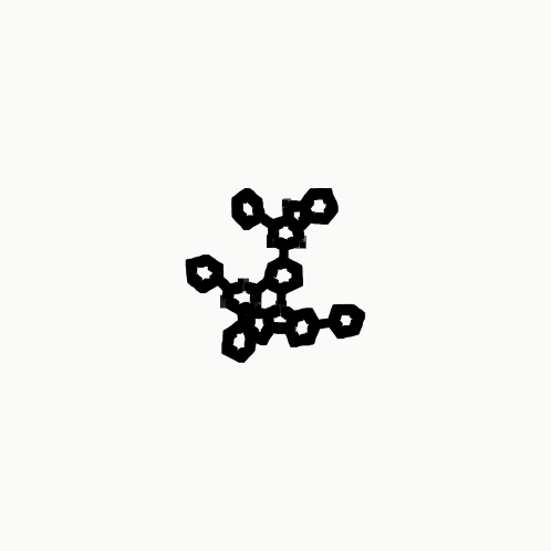 c1ccc(-c2ccc3c4ccccc4n(-c4ccc(-c5nc(-c6ccccc6)c6sc7ccccc7c6n5)cc4-c4nc(-c5ccccc5)nc(-c5ccccc5)n4)c3c2)cc1